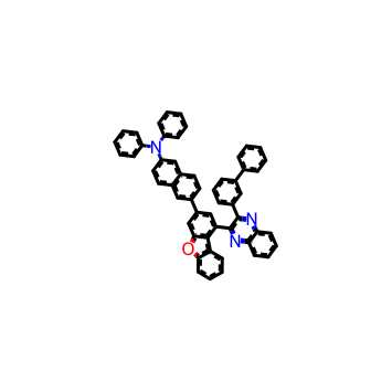 c1ccc(-c2cccc(-c3nc4ccccc4nc3-c3cc(-c4ccc5cc(N(c6ccccc6)c6ccccc6)ccc5c4)cc4oc5ccccc5c34)c2)cc1